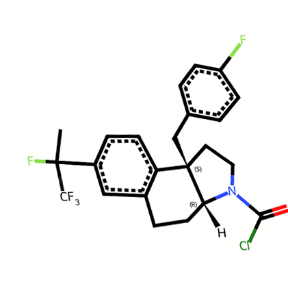 CC(F)(c1ccc2c(c1)CC[C@H]1N(C(=O)Cl)CC[C@@]21Cc1ccc(F)cc1)C(F)(F)F